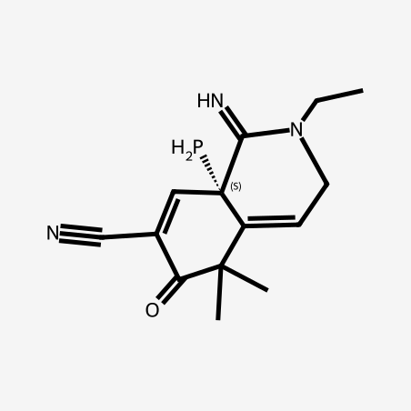 CCN1CC=C2C(C)(C)C(=O)C(C#N)=C[C@@]2(P)C1=N